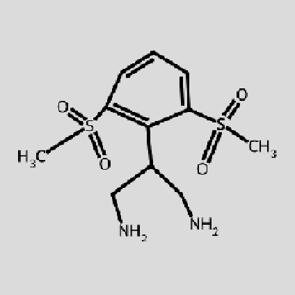 CS(=O)(=O)c1cccc(S(C)(=O)=O)c1C(CN)CN